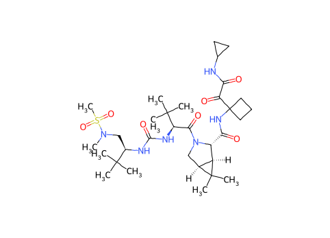 CN(C[C@@H](NC(=O)N[C@H](C(=O)N1C[C@H]2[C@@H]([C@H]1C(=O)NC1(C(=O)C(=O)NC3CC3)CCC1)C2(C)C)C(C)(C)C)C(C)(C)C)S(C)(=O)=O